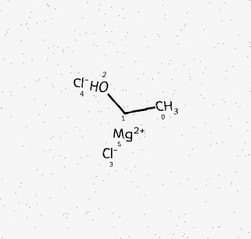 CCO.[Cl-].[Cl-].[Mg+2]